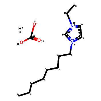 CCCCCCCCn1cc[n+](CC)c1.O=C([O-])[O-].[H+]